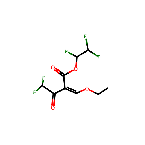 CCOC=C(C(=O)OC(F)C(F)F)C(=O)C(F)F